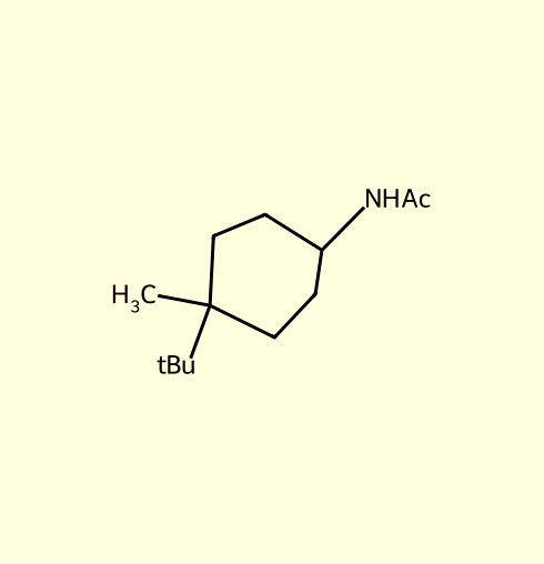 CC(=O)NC1CCC(C)(C(C)(C)C)CC1